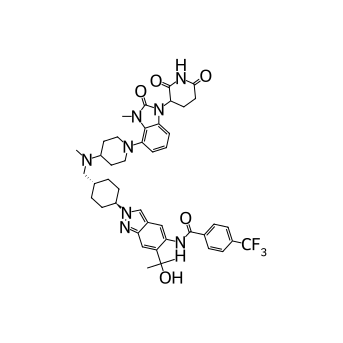 CN(C[C@H]1CC[C@H](n2cc3cc(NC(=O)c4ccc(C(F)(F)F)cc4)c(C(C)(C)O)cc3n2)CC1)C1CCN(c2cccc3c2n(C)c(=O)n3C2CCC(=O)NC2=O)CC1